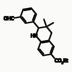 CCOC(=O)c1ccc2c(c1)CC(C)(C)C(c1cccc(C=O)c1)N2